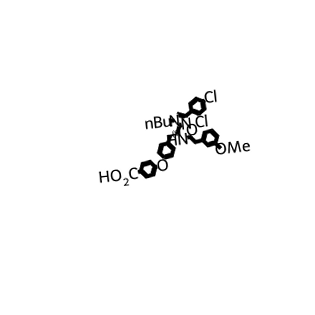 CCCCn1cc(-c2ccc(Cl)cc2Cl)nc1[C@H](Cc1ccc(Oc2ccc(C(=O)O)cc2)cc1)NC(=O)Cc1cccc(OC)c1